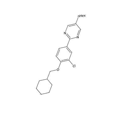 CCCCCCc1cnc(-c2ccc(OCC3CC[CH]CC3)c(Cl)c2)nc1